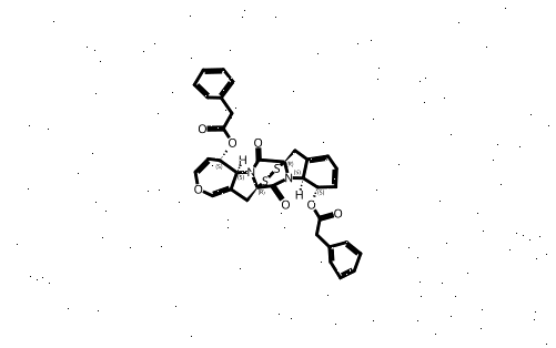 O=C(Cc1ccccc1)O[C@H]1C=CC=C2C[C@@]34SS[C@]5(CC6=COC=C[C@H](OC(=O)Cc7ccccc7)[C@H]6N5C3=O)C(=O)N4[C@@H]21